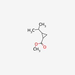 COC(=O)C1CC1C(C)C